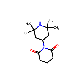 CC1(C)CC(N2C(=O)CCCC2=O)CC(C)(C)N1